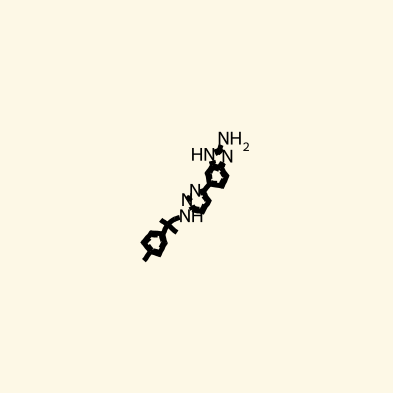 Cc1ccc(C(C)(C)CNc2ccc(-c3ccc4nc(N)[nH]c4c3)nn2)cc1